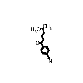 CN(C)CCCC(=O)c1ccc(C#N)cc1